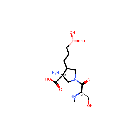 CN[C@@H](CO)C(=O)N1CC(CCCB(O)O)[C@](N)(C(=O)O)C1